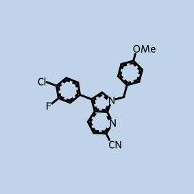 COc1ccc(Cn2cc(-c3ccc(Cl)c(F)c3)c3ccc(C#N)nc32)cc1